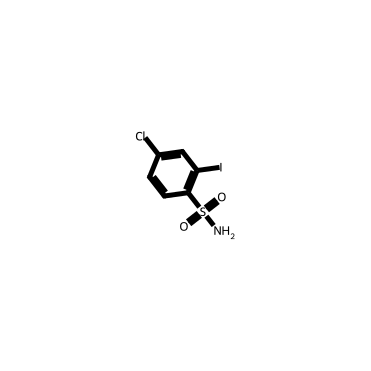 NS(=O)(=O)c1ccc(Cl)cc1I